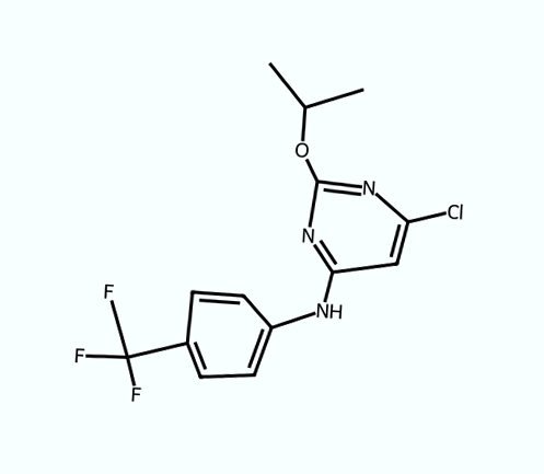 CC(C)Oc1nc(Cl)cc(Nc2ccc(C(F)(F)F)cc2)n1